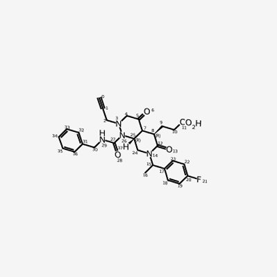 C#CCN1CC(=O)C2[C@@H](CCC(=O)O)C(=O)N(C(C)c3ccc(F)cc3)C[C@@H]2N1C(=O)NCc1ccccc1